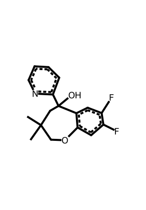 CC1(C)COc2cc(F)c(F)cc2C(O)(c2ccccn2)C1